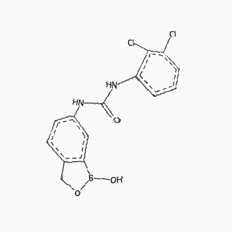 O=C(Nc1ccc2c(c1)B(O)OC2)Nc1cccc(Cl)c1Cl